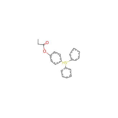 CCC(=O)Oc1ccc([SH](c2ccccc2)c2ccccc2)cc1